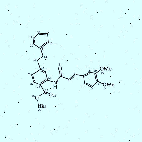 COc1ccc(/C=C/C(=O)Nc2cc(CCc3ccccc3)ccc2C(=O)OC(C)(C)C)cc1OC